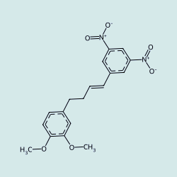 COc1ccc(CCC=Cc2cc([N+](=O)[O-])cc([N+](=O)[O-])c2)cc1OC